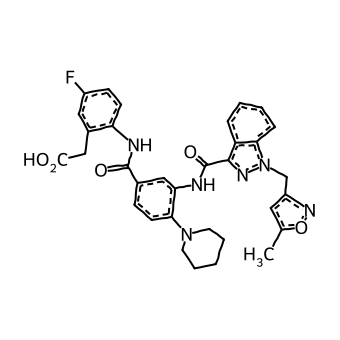 Cc1cc(Cn2nc(C(=O)Nc3cc(C(=O)Nc4ccc(F)cc4CC(=O)O)ccc3N3CCCCC3)c3ccccc32)no1